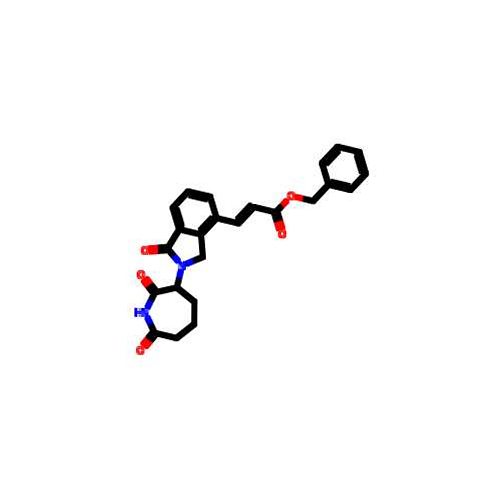 O=C1CCCC(N2Cc3c(C=CC(=O)OCc4ccccc4)cccc3C2=O)C(=O)N1